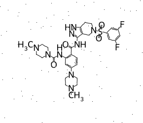 CN1CCN(C(=O)Nc2cc(N3CCN(C)CC3)ccc2C(=O)Nc2n[nH]c3c2CN(S(=O)(=O)c2cc(F)cc(F)c2)CC3)CC1